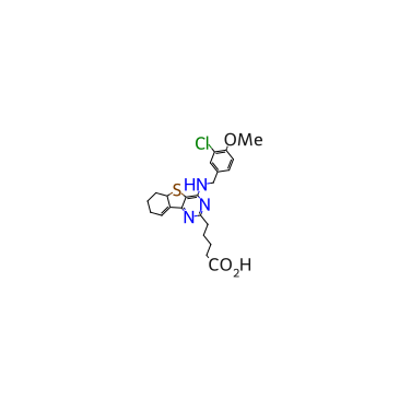 COc1ccc(CNc2nc(CCCCC(=O)O)nc3c2SC2CCCC=C32)cc1Cl